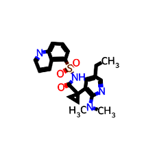 CCc1cnc(N(C)C)c(C2(C(=O)NS(=O)(=O)c3cccc4ncccc34)CC2)c1